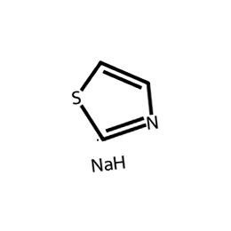 [NaH].[c]1nccs1